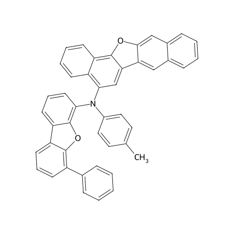 Cc1ccc(N(c2cc3c4cc5ccccc5cc4oc3c3ccccc23)c2cccc3c2oc2c(-c4ccccc4)cccc23)cc1